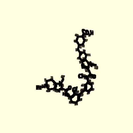 CCN1CCc2c(nc(C(=O)Nc3cccc(-c4cccc(N(Cl)C(=O)c5nc6c(n5C)CCN(CC5CCC(C(=O)O)CC5)C6)c4)c3Cl)n2C)C1